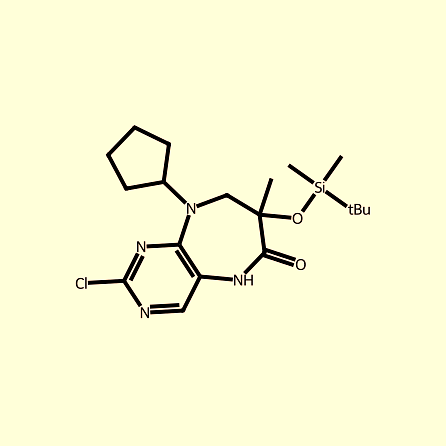 CC1(O[Si](C)(C)C(C)(C)C)CN(C2CCCC2)c2nc(Cl)ncc2NC1=O